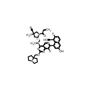 C#Cc1c(F)ccc2cc(O)cc(-c3ncc4c(N(C)C[C@@H]5CC(C)(C#N)CN5C(=O)C=C)nc(OCC56CCCN5CCC6)nc4c3F)c12